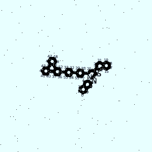 c1ccc2cc3c(cc2c1)nc1c2sc4c5ccccc5ccc4c2cc(-c2ccc(-c4ccc(-c5ccc6c7ccccc7c7ccccc7c6c5)cc4)cc2)n31